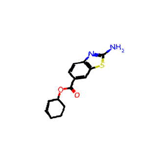 Nc1nc2ccc(C(=O)OC3CCCCC3)cc2s1